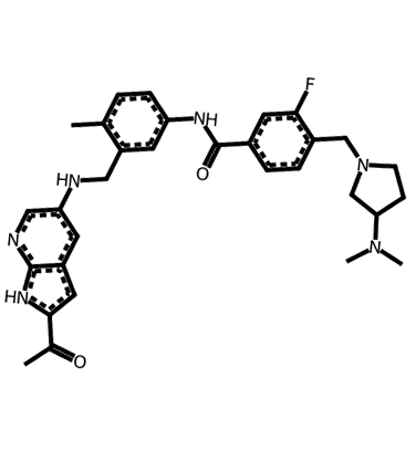 CC(=O)c1cc2cc(NCc3cc(NC(=O)c4ccc(CN5CCC(N(C)C)C5)c(F)c4)ccc3C)cnc2[nH]1